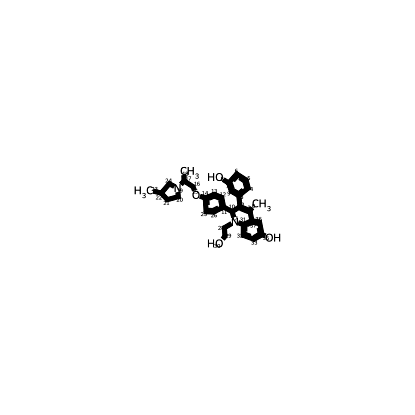 CC1=C(c2cccc(O)c2)C(c2ccc(OCC(C)N3CCC(C)C3)cc2)N(CCO)c2ccc(O)cc21